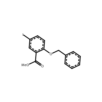 COC(=O)c1cc(I)ccc1OCc1ccccc1